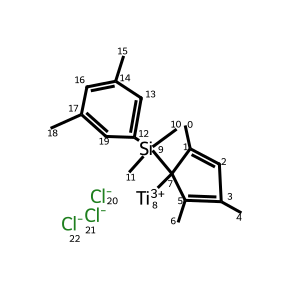 CC1=CC(C)=C(C)[C]1([Ti+3])[Si](C)(C)c1cc(C)cc(C)c1.[Cl-].[Cl-].[Cl-]